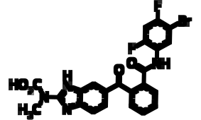 CN(C(=O)O)c1nc2ccc(C(=O)c3ccccc3C(=O)Nc3cc(Br)c(F)cc3F)cc2[nH]1